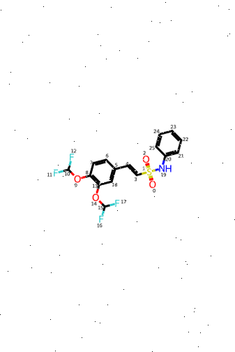 O=S(=O)(/C=C/c1ccc(OC(F)F)c(OC(F)F)c1)Nc1ccccc1